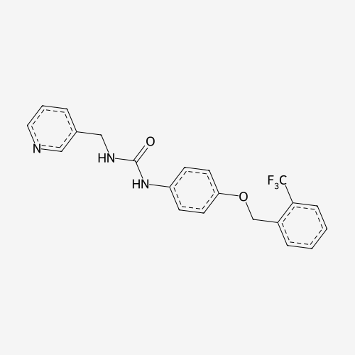 O=C(NCc1cccnc1)Nc1ccc(OCc2ccccc2C(F)(F)F)cc1